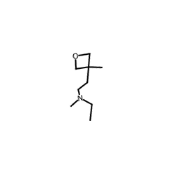 CCN(C)CCC1(C)COC1